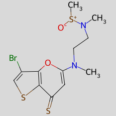 CN(CCN(C)[S+](C)[O-])c1cc(=S)c2scc(Br)c2o1